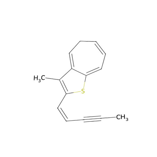 CC#C/C=C\c1sc2c(c1C)=CCC=CC=2